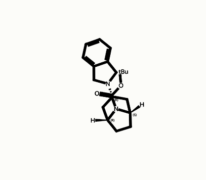 CC(C)(C)OC(=O)N1[C@@H]2CC[C@H]1C[C@@H](N1Cc3ccccc3C1)C2